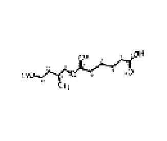 O=C(O)CCCCC(=O)OCC(O)CCO